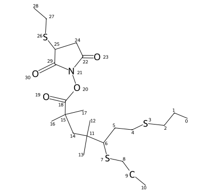 CCCSCCC(SCCC)C(C)(C)CC(C)(C)C(=O)ON1C(=O)CC(SCC)C1=O